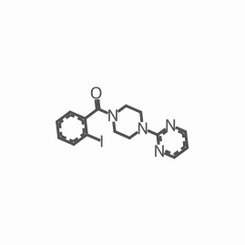 O=C(c1ccccc1I)N1CCN(c2ncccn2)CC1